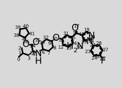 CC(C)C[C@H](NC1CCC(Oc2cccc(C(=O)c3cnn(-c4ccc(F)cc4)c3N)c2)CC1)C(=O)OC1CCCC1